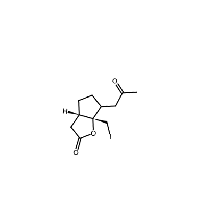 CC(=O)CC1CC[C@H]2CC(=O)O[C@@]12CI